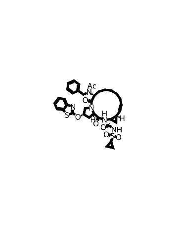 CC(=O)N(Cc1ccccc1)[C@H]1CCCCC/C=C\[C@@H]2C[C@@]2(C(=O)NS(=O)(=O)C2CC2)NC(=O)[C@@H]2C[C@@H](Oc3nc4ccccc4s3)CN2C1=O